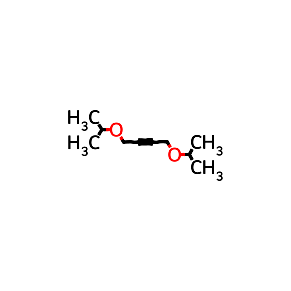 CC(C)OCC#CCOC(C)C